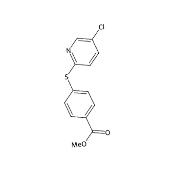 COC(=O)c1ccc(Sc2ccc(Cl)cn2)cc1